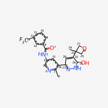 Cc1ncc(NC(=O)c2cccc(C(F)(F)F)c2)cc1C1=NNC(O)C(C2(C)COC2)=C1